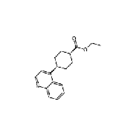 CCOC(=O)[C@H]1CC[C@@H](c2ccnc3ccccc32)CC1